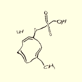 Cc1cccc(OS(=O)(=O)O)c1.[LiH]